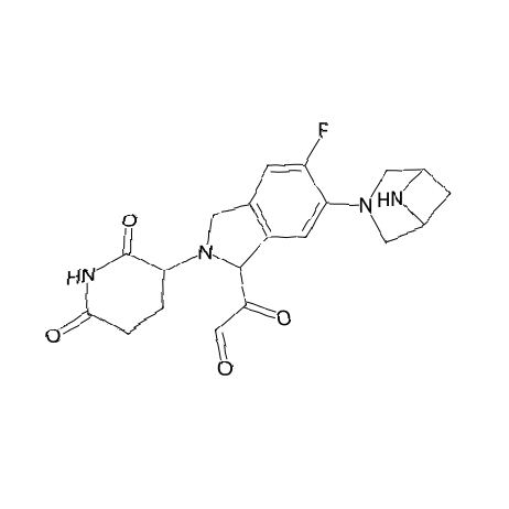 O=CC(=O)C1c2cc(N3CC4CC(C3)N4)c(F)cc2CN1C1CCC(=O)NC1=O